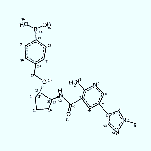 Cn1cc(-c2cnc(N)c(C(=O)N[C@H]3CCC[C@@H]3OCc3ccc(B(O)O)cc3)c2)cn1